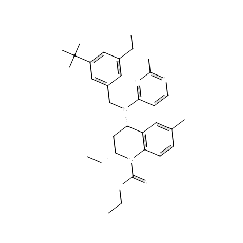 CCOC(=O)N1c2ccc(C)cc2[C@@H](N(Cc2cc(CF)cc(C(F)(F)F)c2)c2ccnc(I)n2)C[C@H]1CC